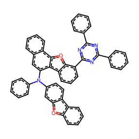 c1ccc(-c2nc(-c3ccccc3)nc(-c3cccc4c3oc3c5ccccc5cc(N(c5ccccc5)c5ccc6c(c5)oc5ccccc56)c43)n2)cc1